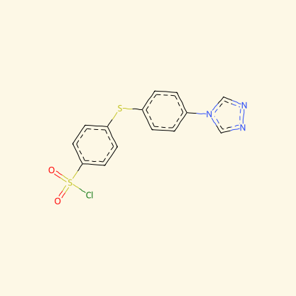 O=S(=O)(Cl)c1ccc(Sc2ccc(-n3cnnc3)cc2)cc1